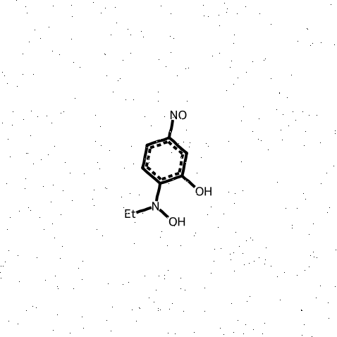 CCN(O)c1ccc(N=O)cc1O